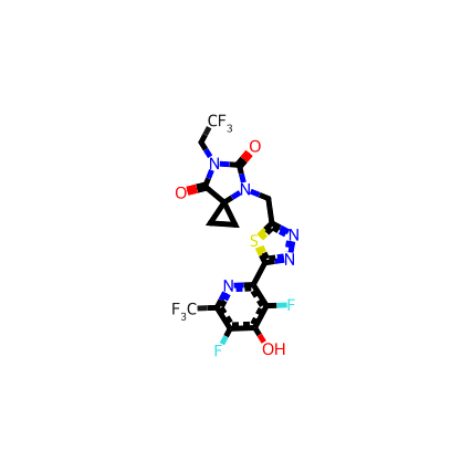 O=C1N(CC(F)(F)F)C(=O)C2(CC2)N1Cc1nnc(-c2nc(C(F)(F)F)c(F)c(O)c2F)s1